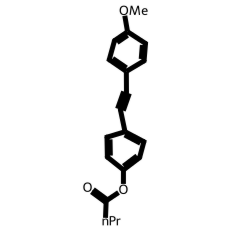 CCCC(=O)Oc1ccc(C#Cc2ccc(OC)cc2)cc1